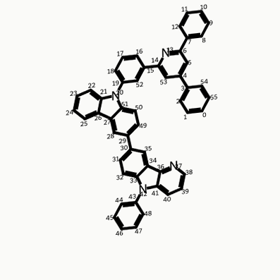 c1ccc(-c2cc(-c3ccccc3)nc(-c3cccc(-n4c5ccccc5c5cc(-c6ccc7c(c6)c6ncccc6n7-c6ccccc6)ccc54)c3)c2)cc1